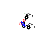 Cc1ccc(COc2cc3n(c(=O)n2)CCCN3Cc2ccccc2C)cc1F